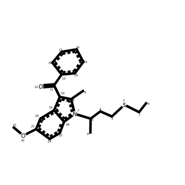 CCSCCC(C)n1c(C)c(C(=O)c2ccccc2)c2cc(OC)ccc21